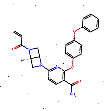 C=CC(=O)N1CC2[C@H]1CN2c1ccc(C(N)=O)c(Oc2ccc(Oc3ccccc3)cc2)n1